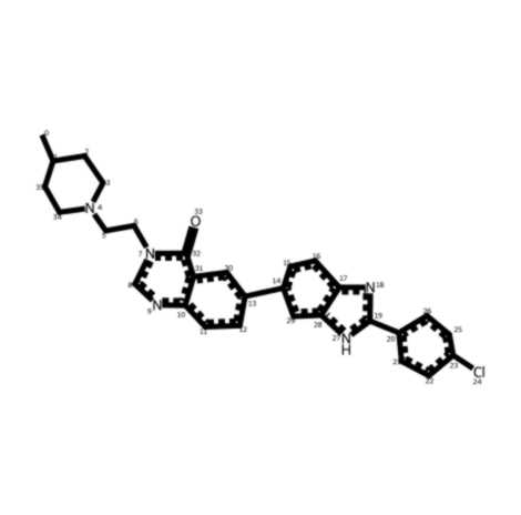 CC1CCN(CCn2cnc3ccc(-c4ccc5nc(-c6ccc(Cl)cc6)[nH]c5c4)cc3c2=O)CC1